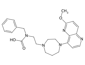 COc1ccc2nccc(N3CCCN(CCN(Cc4ccccc4)C(=O)O)CC3)c2n1